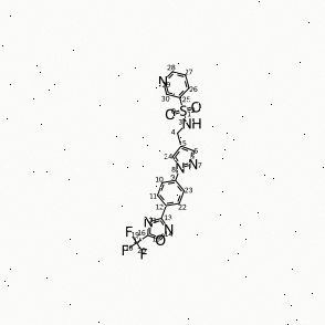 O=S(=O)(NCc1cnn(-c2ccc(-c3noc(C(F)(F)F)n3)cc2)c1)c1cccnc1